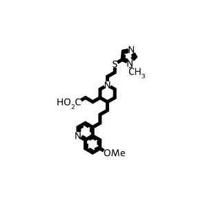 COc1ccc2nccc(CCCC3CCN(CCSc4cncn4C)CC3CCC(=O)O)c2c1